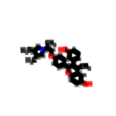 CC1=C(c2cccc(O)c2)C(c2ccc(OC[C@H](C)N3C[C@H](C)[C@@H](C)C3)cc2)Oc2ccc(O)cc21